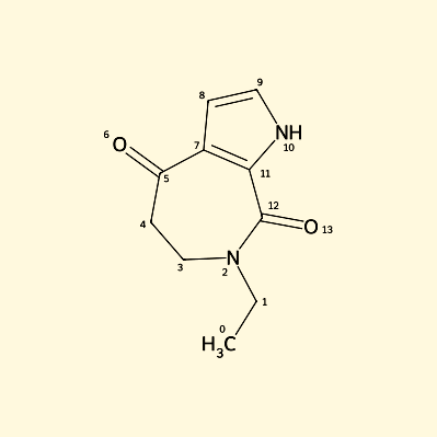 CCN1CCC(=O)c2cc[nH]c2C1=O